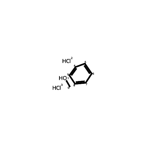 CO.Cl.Cl.c1ccccc1